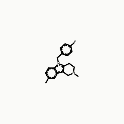 Cc1ccc2c(c1)c1c(n2Cc2ccc(F)cc2)CCN(C)C1